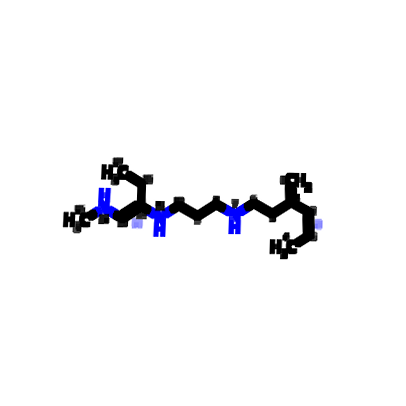 C=C(/C=C\C)CCNCCCN/C(=C/NC)CC